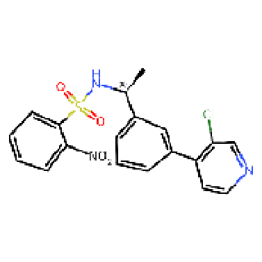 C[C@H](NS(=O)(=O)c1ccccc1[N+](=O)[O-])c1cccc(-c2ccncc2Cl)c1